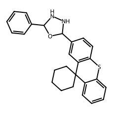 c1ccc(C2NNC(c3ccc4c(c3)C3(CCCCC3)c3ccccc3S4)O2)cc1